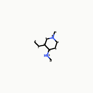 CCC1CN(C)CCC1NC